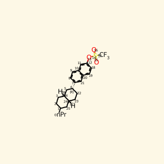 CCCC1CC[C@@H]2C[C@H](c3ccc4cc(OS(=O)(=O)C(F)(F)F)ccc4c3)CC[C@@H]2C1